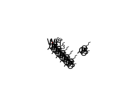 C=CCOP([O-])(=S)OCCCCC.C=CCOP([O-])(=S)OCCCCC.C=CCOP([O-])(=S)OCCCCC.C=CCOP([O-])(=S)OCCCCC.C=CCOP([O-])(=S)OCCCCC.C=CCOP([O-])(=S)OCCCCC.N.[W+6]